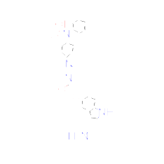 NCCc1c[nH]c2ccc(OCC(=O)N3CCN(c4ccc(N(C(=O)O)c5ccccc5)cc4)CC3)cc12